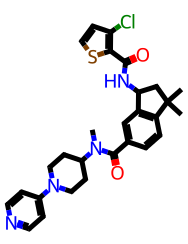 CN(C(=O)c1ccc2c(c1)C(NC(=O)c1sccc1Cl)CC2(C)C)C1CCN(c2ccncc2)CC1